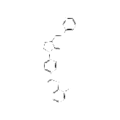 Nc1ccccc1NC(=O)c1ccc(N2CCC(COc3cccnc3)C2=O)cc1